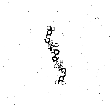 Cc1c(NC(=O)c2nc3c(s2)CN(Cc2ccc(Cl)c(Cl)c2)CC3)cccc1-c1cccc(NC(=O)c2nc3c(s2)CN(Cc2ccc(Cl)c(Cl)c2)CC3)c1C